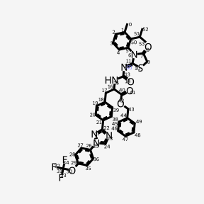 Cc1cccc(N2C(=O)CS/C2=N\C(=O)NC(Cc2ccc(-c3ncn(-c4ccc(OC(F)(F)F)cc4)n3)cc2)C(=O)OCc2ccccc2)c1C(C)C